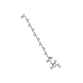 CC(=O)CCOCCOCCOCCOCCOCCOCCOCCOCCNC(=O)CCN1C(=O)CC(SC(C)C)C1=O